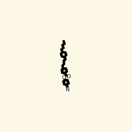 CCCCCC1CCC(C=CCCc2ccc(C(=O)Oc3ccc(C#N)cc3)cc2)CC1